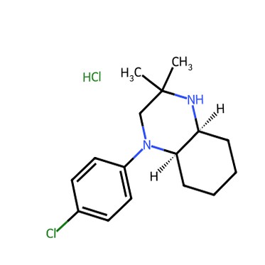 CC1(C)CN(c2ccc(Cl)cc2)[C@@H]2CCCC[C@@H]2N1.Cl